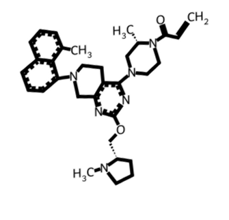 C=CC(=O)N1CCN(c2nc(OC[C@@H]3CCCN3C)nc3c2CCN(c2cccc4cccc(C)c24)C3)C[C@@H]1C